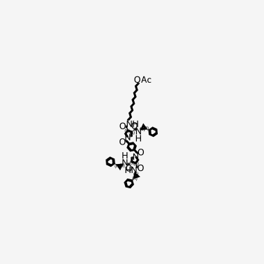 CC(=O)OCCCCCCCCCCCCNC(=O)[C@@H]1CN(C(=O)c2ccc(C(=O)N3C[C@@H](C(=O)N[C@H]4C[C@@H]4c4ccccc4)[C@H](C(=O)N[C@H]4C[C@@H]4c4ccccc4)C3)cc2)C[C@H]1C(=O)N[C@H]1C[C@@H]1c1ccccc1